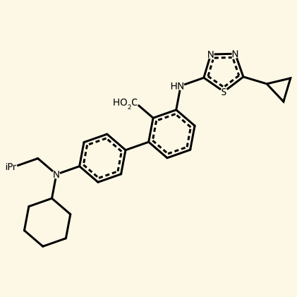 CC(C)CN(c1ccc(-c2cccc(Nc3nnc(C4CC4)s3)c2C(=O)O)cc1)C1CCCCC1